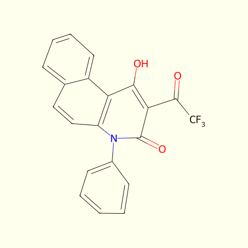 O=C(c1c(O)c2c3ccccc3ccc2n(-c2ccccc2)c1=O)C(F)(F)F